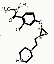 CN(C)C(=O)c1ccc(O[C@@H]2C[C@H]2CCC2CCNCC2)cc1Cl